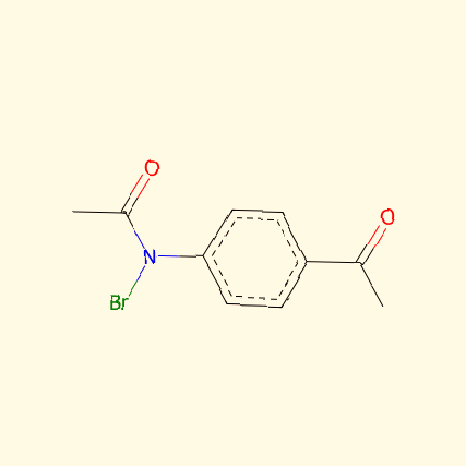 CC(=O)c1ccc(N(Br)C(C)=O)cc1